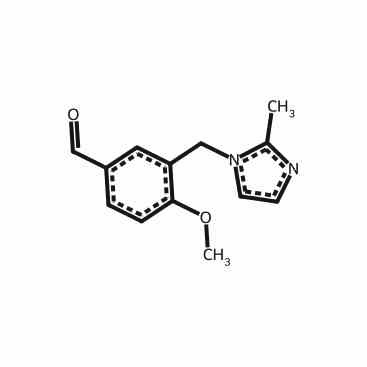 COc1ccc(C=O)cc1Cn1ccnc1C